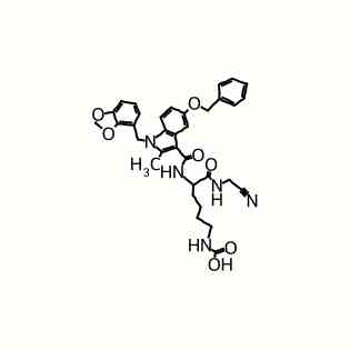 Cc1c(C(=O)NC(CCCCNC(=O)O)C(=O)NCC#N)c2cc(OCc3ccccc3)ccc2n1Cc1cccc2c1OCO2